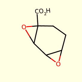 O=C(O)C12CCC3OC3C1O2